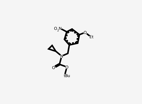 CCOc1cc(CN(C(=O)OC(C)(C)C)C2CC2)cc([N+](=O)[O-])c1